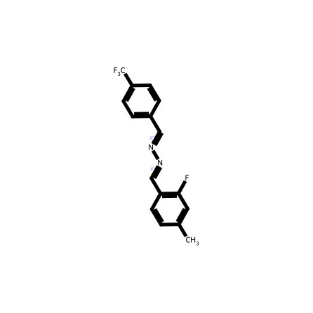 Cc1ccc(/C=N/N=C/c2ccc(C(F)(F)F)cc2)c(F)c1